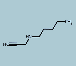 C#CCNCCCCC